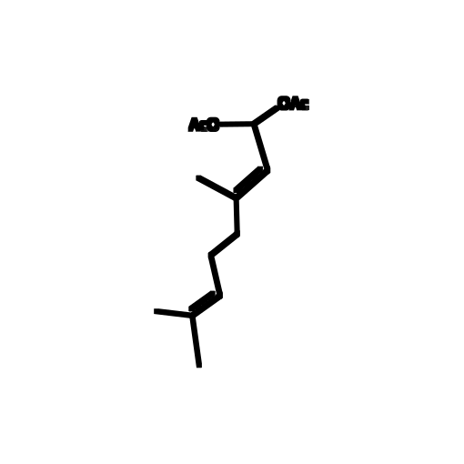 CC(=O)OC(/C=C(\C)CCC=C(C)C)OC(C)=O